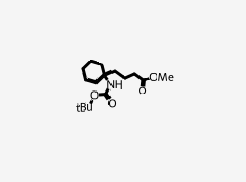 COC(=O)CCCC1(NC(=O)OC(C)(C)C)CCCCC1